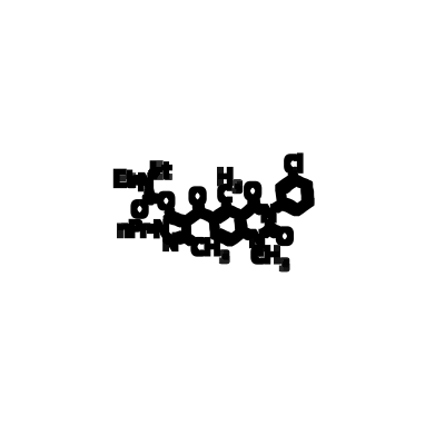 CCCn1nc(C)c(C(=O)c2ccc3c(c2C)c(=O)n(-c2cccc(Cl)c2)c(=O)n3C)c1OC(=O)N(CC)CC